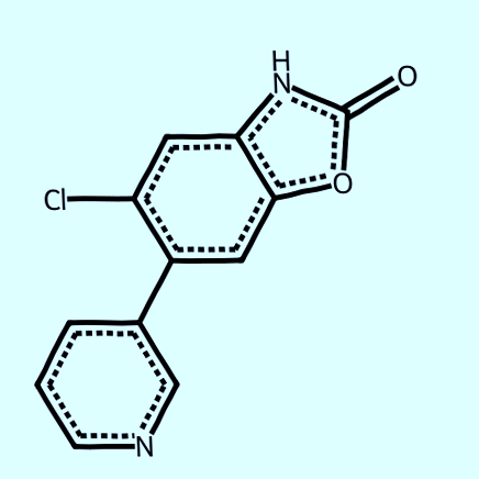 O=c1[nH]c2cc(Cl)c(-c3cccnc3)cc2o1